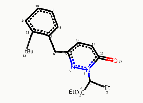 CCOC(=O)C(CC)n1nc(Cc2ccccc2C(C)(C)C)ccc1=O